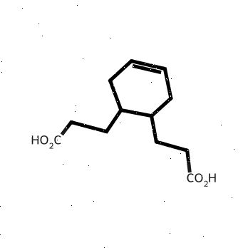 O=C(O)CCC1CC=CCC1CCC(=O)O